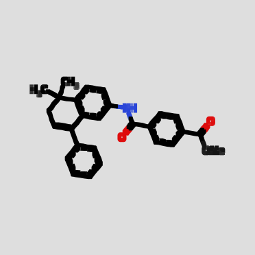 COC(=O)c1ccc(C(=O)Nc2ccc3c(c2)C(c2ccccc2)=CCC3(C)C)cc1